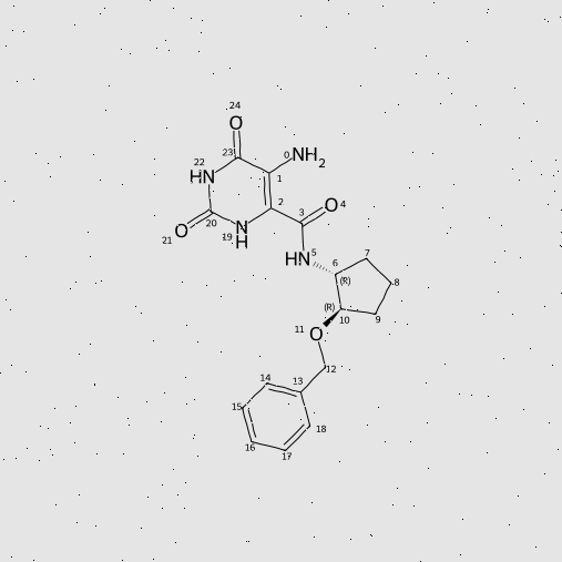 Nc1c(C(=O)N[C@@H]2CCC[C@H]2OCc2ccccc2)[nH]c(=O)[nH]c1=O